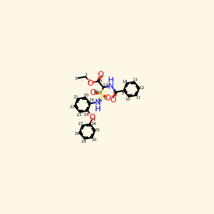 CCOC(=O)C(NC(=O)c1ccccc1)S(=O)(=O)Nc1ccccc1Oc1ccccc1